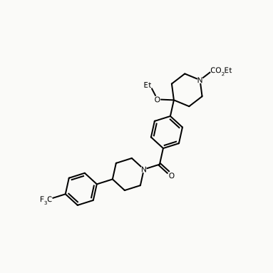 CCOC(=O)N1CCC(OCC)(c2ccc(C(=O)N3CCC(c4ccc(C(F)(F)F)cc4)CC3)cc2)CC1